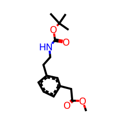 COC(=O)Cc1cccc(CCNC(=O)OC(C)(C)C)c1